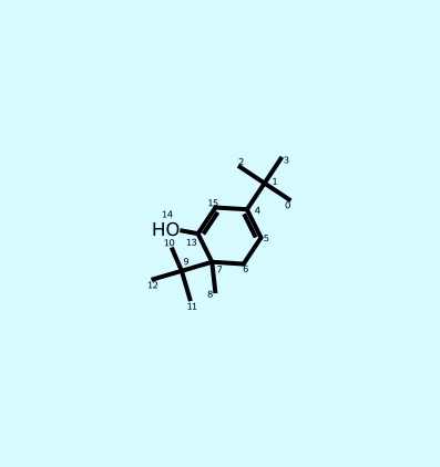 CC(C)(C)C1=CCC(C)(C(C)(C)C)C(O)=C1